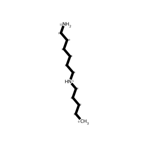 CCCCCNCCCCCCN